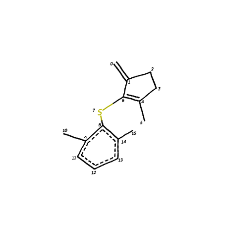 C=C1CCC(C)=C1Sc1c(C)cccc1C